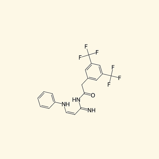 N=C(/C=C\Nc1ccccc1)NC(=O)Cc1cc(C(F)(F)F)cc(C(F)(F)F)c1